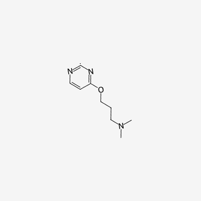 CN(C)CCCOc1ccn[c]n1